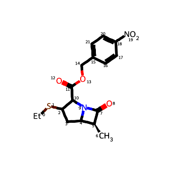 CCSC1CC2[C@H](C)C(=O)N2C1C(=O)OCc1ccc([N+](=O)[O-])cc1